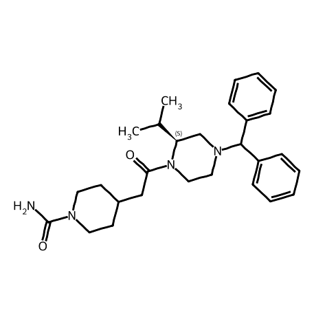 CC(C)[C@H]1CN(C(c2ccccc2)c2ccccc2)CCN1C(=O)CC1CCN(C(N)=O)CC1